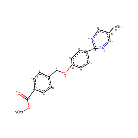 CCCCCCCCOC(=O)c1ccc(COc2ccc(-c3ncc(CCCCCCCC)cn3)cc2)cc1